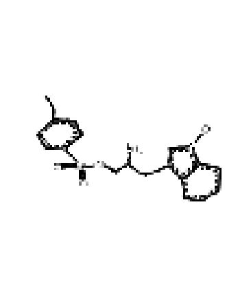 CCn1cc(CC(N)COS(=O)(=O)c2ccc(C)cc2)c2ccccc21